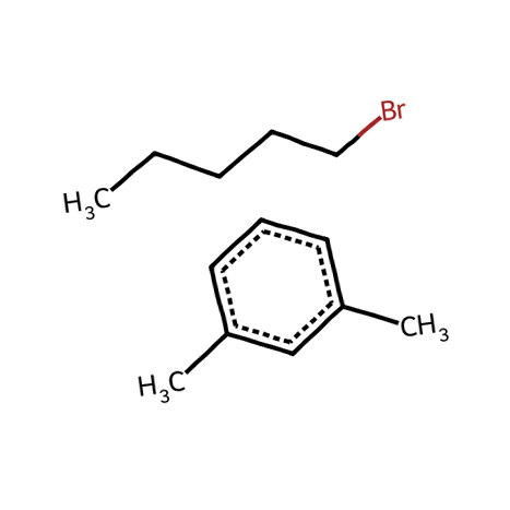 CCCCCBr.Cc1cccc(C)c1